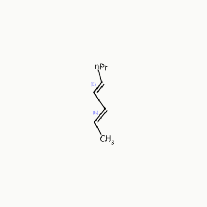 C/C=C/C=C/CCC